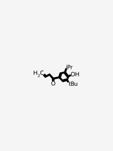 C=CCC(=O)c1cc(C(C)C)c(O)c(C(C)(C)C)c1